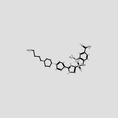 CCCCC[C@H]1CC[C@H](c2ccc(-c3nc(S(=O)(=O)Nc4ccc(C(=O)O)cc4OC)cs3)cc2)CC1